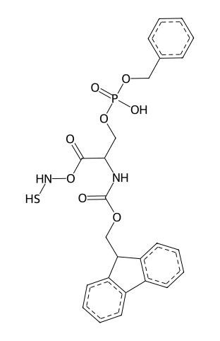 O=C(NC(COP(=O)(O)OCc1ccccc1)C(=O)ONS)OCC1c2ccccc2-c2ccccc21